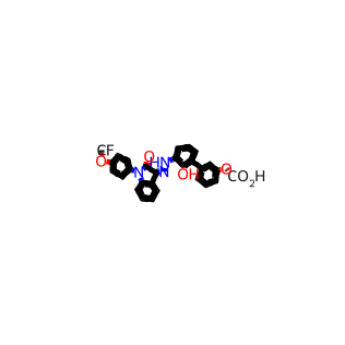 O=C(O)Oc1cccc(-c2cccc(NN=C3C(=O)N(c4ccc(OC(F)(F)F)cc4)c4ccccc43)c2O)c1